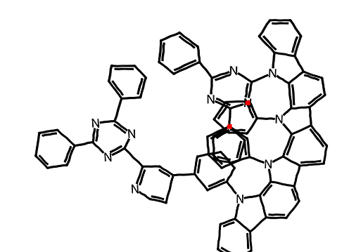 C1=C(c2ccnc(-c3nc(-c4ccccc4)nc(-c4ccccc4)n3)c2)C=C(n2c3ccccc3c3ccc4c5ccc6c7ccc8c9ccccc9n(-c9nc(-c%10ccccc%10)nc(-c%10ccccc%10)n9)c8c7n(-c7ccccc7)c6c5n(-c5ccccc5)c4c32)CC1